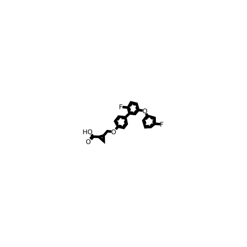 O=C(O)C1CC1COc1ccc(-c2cc(Oc3cccc(F)c3)ccc2F)cc1